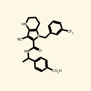 CC(NC(=O)c1c(C#N)c2c(n1Cc1cccc(C(F)(F)F)c1)CCCN2)c1ccc(C(=O)O)cc1